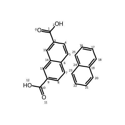 O=C(O)c1ccc2ccc(C(=O)O)cc2c1.c1ccc2ccccc2c1